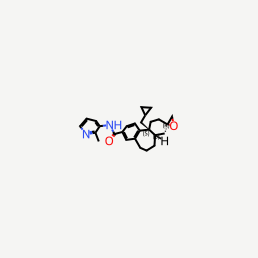 Cc1ncccc1NC(=O)c1ccc2c(c1)CCC[C@H]1C[C@]3(CC[C@@]21CC1CC1)CO3